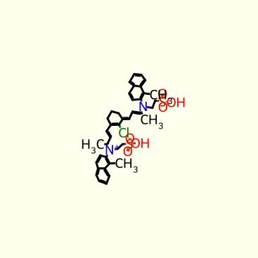 C/C(=C\C=C1/CCCC(/C=C/C(C)=[N+](\CCS(=O)(=O)O)c2ccc3ccccc3c2C)=C1Cl)N(CCS(=O)(=O)O)c1ccc2ccccc2c1C